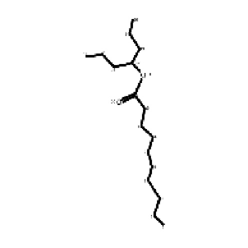 CCCCCCCCCC(=O)OC(CCC)CCC